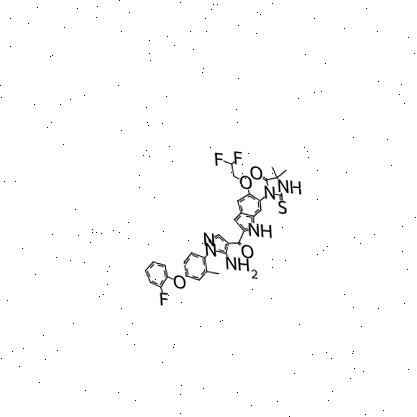 Cc1cc(Oc2ccccc2F)ccc1-n1ncc(C(=O)c2cc3cc(OCC(F)F)c(N4C(=O)C(C)(C)NC4=S)cc3[nH]2)c1N